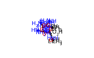 CCC(C)(C)C(=O)NCCCCC(NC(=O)CNC(=O)C(CCCNC(=N)N)NC(=O)C(CCCNC(=N)N)NC(=O)C(CCCNC(=N)N)NC(=O)CNC(=O)C(C)(C)CC)C(=O)O